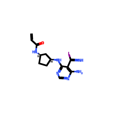 C=CC(=O)N[C@H]1CC[C@H](Nc2ncnc(N)c2C(=N)I)C1